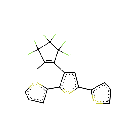 CC1=C(c2cc(-c3cccs3)sc2-c2cccs2)C(F)(F)C(F)(F)C1(F)F